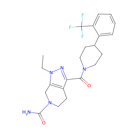 CCn1nc(C(=O)N2CCC(c3ccccc3C(F)(F)F)CC2)c2c1CN(C(N)=O)CC2